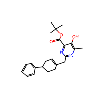 Cc1nc(CC2=CCC(c3ccccc3)CC2)nc(C(=O)OC(C)(C)C)c1O